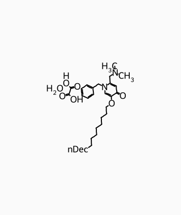 CCCCCCCCCCCCCCCCCCOc1cn(Cc2ccccc2)c(CN(C)C)cc1=O.O.O=C(O)C(=O)O